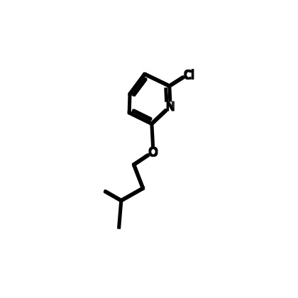 CC(C)CCOc1cccc(Cl)n1